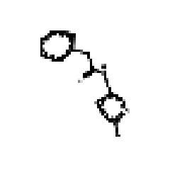 O=C(Cc1ccccc1)Nc1ccc(Br)nc1